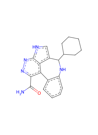 NC(=O)c1nnc2[nH]cc3c2c1-c1ccccc1NC3C1CCCCC1